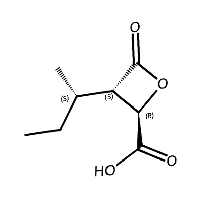 CC[C@H](C)[C@@H]1C(=O)O[C@H]1C(=O)O